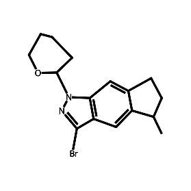 CC1CCc2cc3c(cc21)c(Br)nn3C1CCCCO1